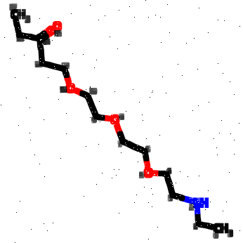 CCNCCOCCOCCOCCC(=O)CC